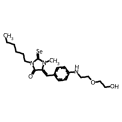 CCCCCCN1C(=O)C(=Cc2ccc(NCCOCCO)cc2)N(C)C1=[Se]